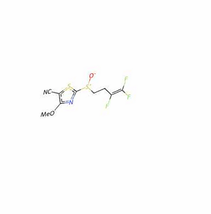 COc1nc([S+]([O-])CCC(F)=C(F)F)sc1C#N